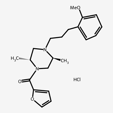 COc1ccccc1CCCN1C[C@@H](C)N(C(=O)c2ccco2)C[C@@H]1C.Cl